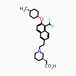 C[C@H]1CC[C@@H](Oc2ccc3cc(CCN4CCC[C@H](CC(=O)O)C4)ccc3c2C(F)F)CC1